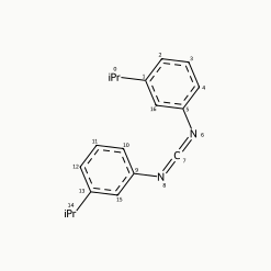 CC(C)c1cccc(N=C=Nc2cccc(C(C)C)c2)c1